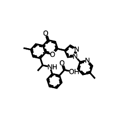 Cc1ccc(-n2cc(-c3cc(=O)c4cc(C)cc(C(C)Nc5ccccc5C(=O)O)c4o3)cn2)nc1